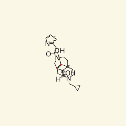 O=C(Cc1nccs1)N1CC[C@]23CCN(CC4CC4)[C@H](Cc4ccc(O)cc42)[C@]3(O)CC1